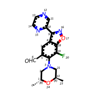 C[C@@H]1CN(c2c(C=O)cc3c(-c4cnccn4)noc3c2F)C[C@@H](C)O1